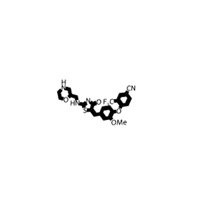 COc1cc(C=C2SC(NCC3CNCCO3)=NC2=O)ccc1Oc1ccc(C#N)cc1C(F)(F)F